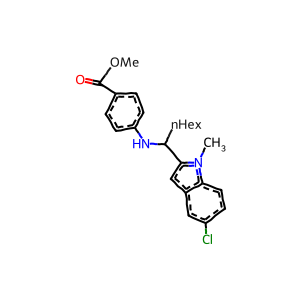 CCCCCCC(Nc1ccc(C(=O)OC)cc1)c1cc2cc(Cl)ccc2n1C